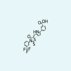 O=C(O)c1cccc(-c2ccc(/C=C3\SC(=S)N(c4cccc(C(F)(F)F)c4)C3=O)[nH]2)c1